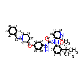 CC(C)(C)c1ccccc1Oc1ncccc1NC(=O)Nc1ccc(OC2CCCN(Cc3ccccc3)C2)cc1